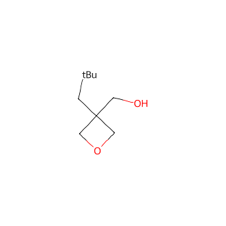 CC(C)(C)CC1(CO)COC1